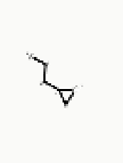 FCCC1CO1